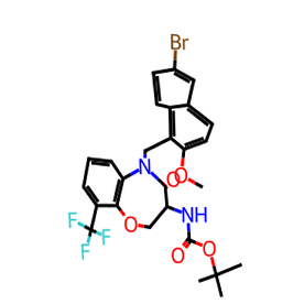 COc1ccc2cc(Br)ccc2c1CN1C(=O)C(NC(=O)OC(C)(C)C)COc2c1cccc2C(F)(F)F